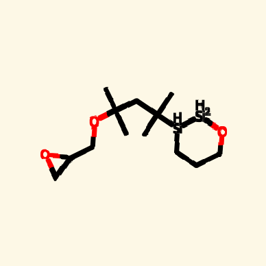 CC(C)(CC(C)(C)[SiH]1CCCO[SiH2]1)OCC1CO1